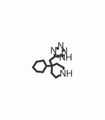 C1CCC(C2(Cc3nnn[nH]3)CCNCC2)CC1